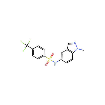 Cn1ncc2cc(NS(=O)(=O)c3ccc(C(F)(F)F)cc3)ccc21